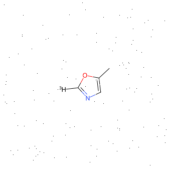 [3H]c1ncc(C)o1